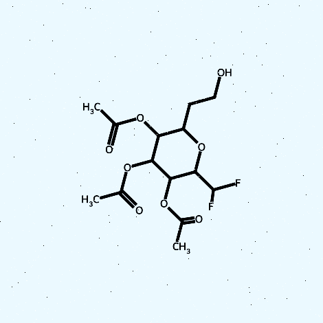 CC(=O)OC1C(CCO)OC(C(F)F)C(OC(C)=O)C1OC(C)=O